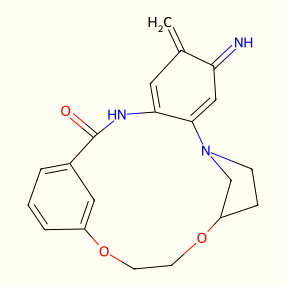 C=C1C=C2NC(=O)c3cccc(c3)OCCOC3CCN(C3)C2=CC1=N